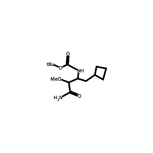 COC(C(N)=O)C(CC1CCC1)NC(=O)OC(C)(C)C